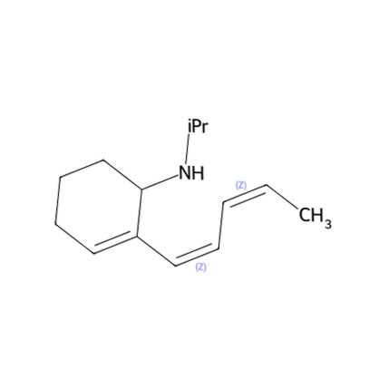 C/C=C\C=C/C1=CCCCC1NC(C)C